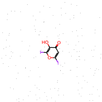 O=c1cc(I)oc(I)c1O